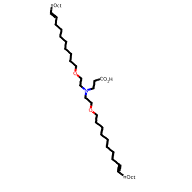 CCCCCCCCC=CCCCCCCCCOCCN(CCOCCCCCCCCC=CCCCCCCCC)CCC(=O)O